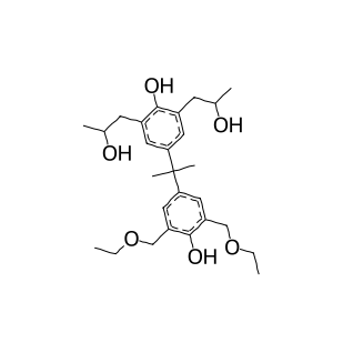 CCOCc1cc(C(C)(C)c2cc(CC(C)O)c(O)c(CC(C)O)c2)cc(COCC)c1O